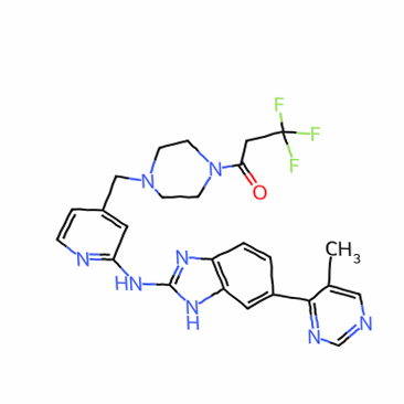 Cc1cncnc1-c1ccc2nc(Nc3cc(CN4CCN(C(=O)CC(F)(F)F)CC4)ccn3)[nH]c2c1